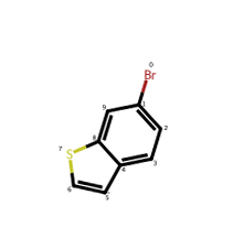 Brc1ccc2[c]csc2c1